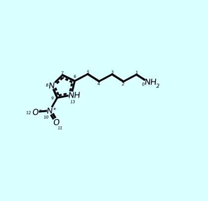 NCCCCCc1cnc([N+](=O)[O-])[nH]1